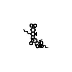 CCCCc1c2c(nc3cc4c(cc13)OCO4)-c1cc3c(c(=O)n1C2)COC(=O)[C@@]3(CC)OC(=O)CCC